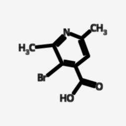 Cc1cc(C(=O)O)c(Br)c(C)n1